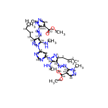 CCCCc1nn(-c2cc(-n3nc(CCCC)c(/N=N/c4c(C(=O)OC)cnn4C)c3NC)ncn2)c(NC)c1/N=N/c1c(C(=O)OC)cnn1C